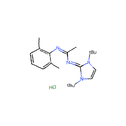 CC(=Nc1c(C)cccc1C)N=c1n(C(C)(C)C)ccn1C(C)(C)C.Cl